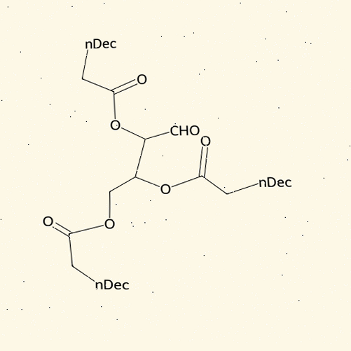 CCCCCCCCCCCC(=O)OCC(OC(=O)CCCCCCCCCCC)C(C=O)OC(=O)CCCCCCCCCCC